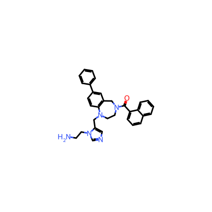 NCCn1cncc1CN1CCN(C(=O)c2cccc3ccccc23)Cc2cc(-c3ccccc3)ccc21